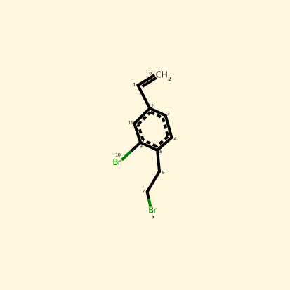 C=Cc1ccc(CCBr)c(Br)c1